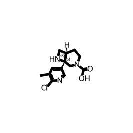 Cc1cc([C@]23CN(C(=O)O)CC[C@@H]2CN3)cnc1Cl